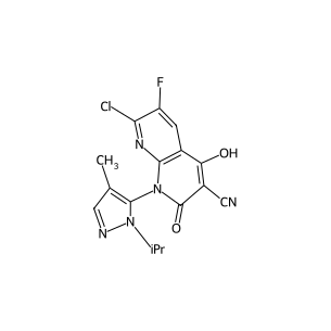 Cc1cnn(C(C)C)c1-n1c(=O)c(C#N)c(O)c2cc(F)c(Cl)nc21